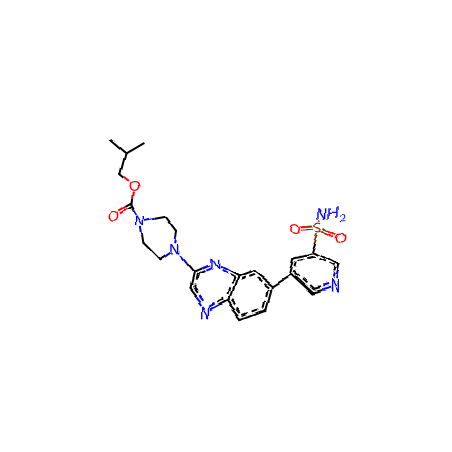 CC(C)COC(=O)N1CCN(c2cnc3ccc(-c4cncc(S(N)(=O)=O)c4)cc3n2)CC1